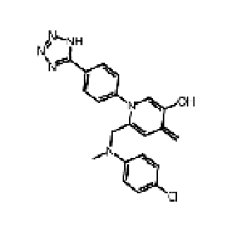 C=C1C=C(CN(C)c2ccc(Cl)cc2)N(c2ccc(-c3nnn[nH]3)cc2)C=C1O